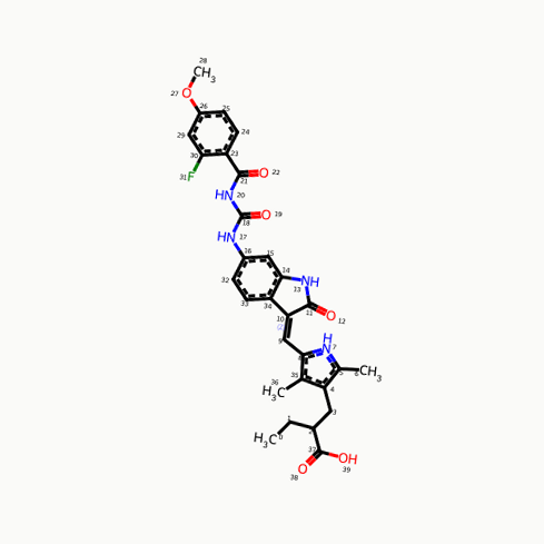 CCC(Cc1c(C)[nH]c(/C=C2\C(=O)Nc3cc(NC(=O)NC(=O)c4ccc(OC)cc4F)ccc32)c1C)C(=O)O